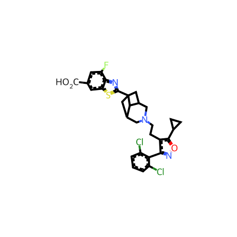 O=C(O)c1cc(F)c2nc(C34CC5CN(CCc6c(-c7c(Cl)cccc7Cl)noc6C6CC6)CC(C3)C54)sc2c1